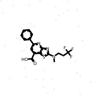 CN(CCC(F)(F)F)c1nc2nc(-c3ccccc3)cc(C(=O)O)c2s1